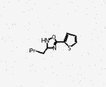 CC(C)CC1N=C(c2cccs2)ON1